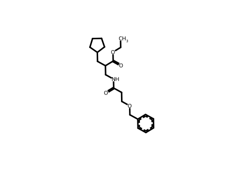 CCOC(=O)C(CNC(=O)CCOCc1ccccc1)CC1CCCC1